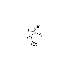 CCO[Si](Br)(I)I